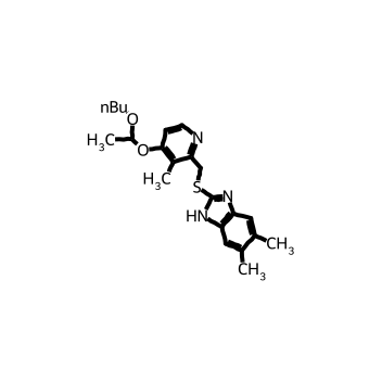 CCCCOC(C)Oc1ccnc(CSc2nc3cc(C)c(C)cc3[nH]2)c1C